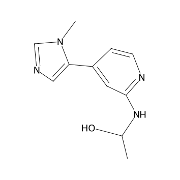 CC(O)Nc1cc(-c2cncn2C)ccn1